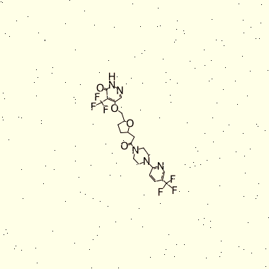 O=C(CC1CCC(COc2cn[nH]c(=O)c2C(F)(F)F)O1)N1CCN(c2ccc(C(F)(F)F)cn2)CC1